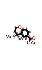 CSC1(SC)CCOc2ccc(C(=O)OC(C)=O)cc21